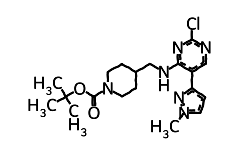 Cn1ccc(-c2cnc(Cl)nc2NCC2CCN(C(=O)OC(C)(C)C)CC2)n1